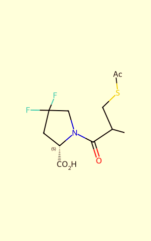 CC(=O)SCC(C)C(=O)N1CC(F)(F)C[C@H]1C(=O)O